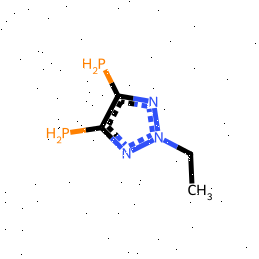 CCn1nc(P)c(P)n1